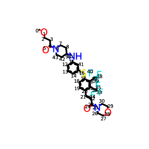 COCCC(=O)N1CCC(Nc2cccc(Sc3ccc(/C=C/C(=O)N4CCOCC4)c(C(F)(F)F)c3C(F)(F)F)c2)CC1